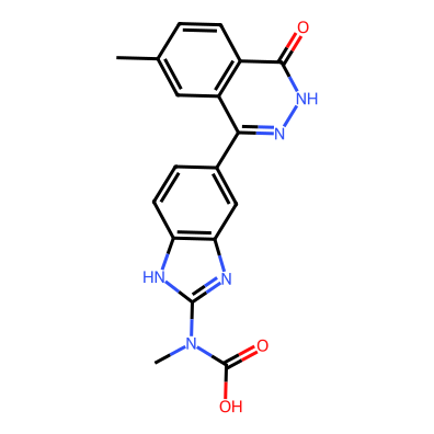 Cc1ccc2c(=O)[nH]nc(-c3ccc4[nH]c(N(C)C(=O)O)nc4c3)c2c1